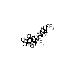 OC(c1c(Cl)c(Cl)c(Cl)c(Cl)c1Cl)(C(F)(F)F)C(F)(F)OC(F)(F)C(F)(F)OC(F)(F)C(F)(F)OC(F)(F)F